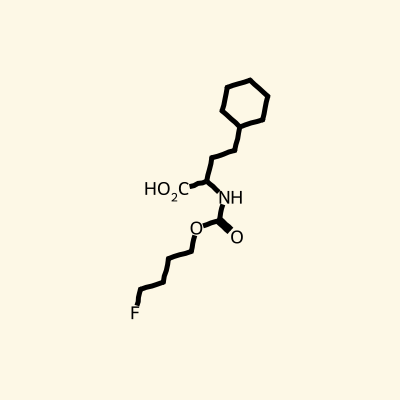 O=C(NC(CCC1CCCCC1)C(=O)O)OCCCCF